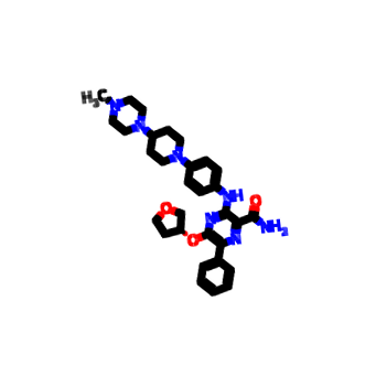 CN1CCN(C2CCN(c3ccc(Nc4nc(O[C@@H]5CCOC5)c(-c5ccccc5)nc4C(N)=O)cc3)CC2)CC1